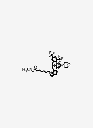 CCOC(=O)CCCCCCn1ccc2cccc(CN(Cc3cc(C(F)(F)F)cc(C(F)(F)F)c3)c3ncc(N4CCOCC4)cn3)c21